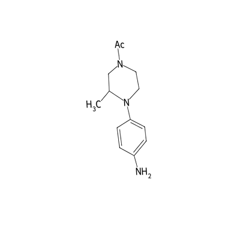 CC(=O)N1CCN(c2ccc(N)cc2)C(C)C1